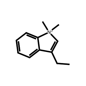 CCC1=C[N+](C)(C)c2ccccc21